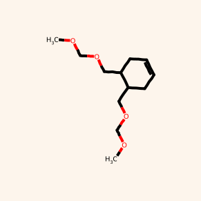 COCOCC1CC=CCC1COCOC